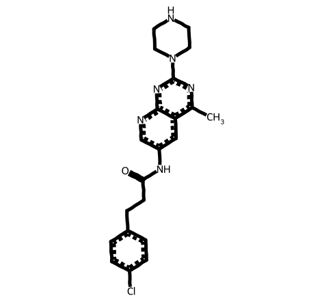 Cc1nc(N2CCNCC2)nc2ncc(NC(=O)CCc3ccc(Cl)cc3)cc12